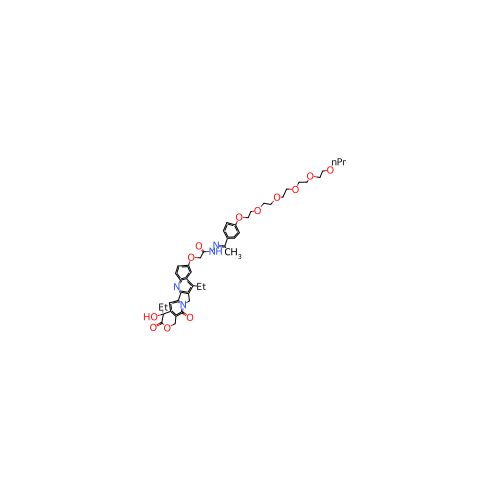 CCCOCCOCCOCCOCCOCCOc1ccc(/C(C)=N/NC(=O)COc2ccc3nc4c(c(CC)c3c2)Cn2c-4cc3c(c2=O)COC(=O)[C@]3(O)CC)cc1